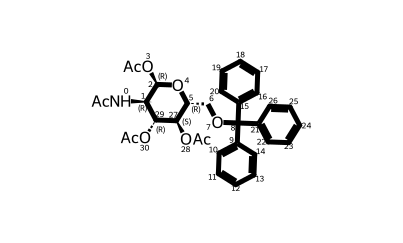 CC(=O)N[C@H]1[C@@H](OC(C)=O)O[C@H](COC(c2ccccc2)(c2ccccc2)c2ccccc2)[C@@H](OC(C)=O)[C@@H]1OC(C)=O